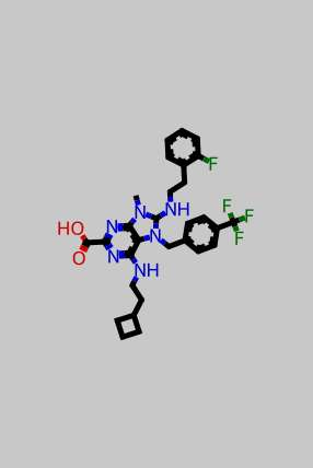 CN1c2nc(C(=O)O)nc(NCCC3CCC3)c2N(Cc2ccc(C(F)(F)F)cc2)C1NCCc1ccccc1F